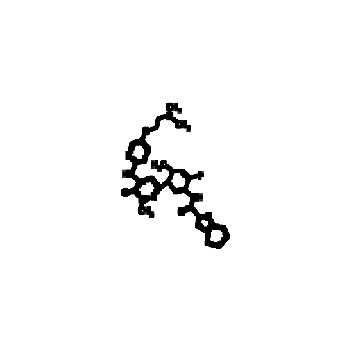 CC1C=C(F)C(NC(=O)c2cc3ccccc3s2)=CC1c1cc(Nc2ccc(OCCN(C)C)cn2)c(=O)n(C)n1